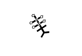 CC(C)C(C)(C)[Si](Cl)(Cl)[Si](Cl)(Cl)Cl